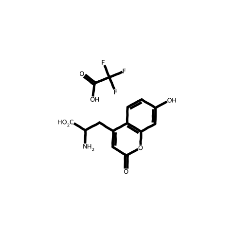 NC(Cc1cc(=O)oc2cc(O)ccc12)C(=O)O.O=C(O)C(F)(F)F